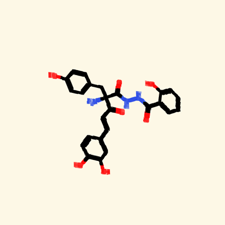 N[C@](Cc1ccc(O)cc1)(C(=O)C=Cc1ccc(O)c(O)c1)C(=O)NNC(=O)c1ccccc1O